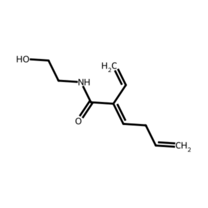 C=CC/C=C(\C=C)C(=O)NCCO